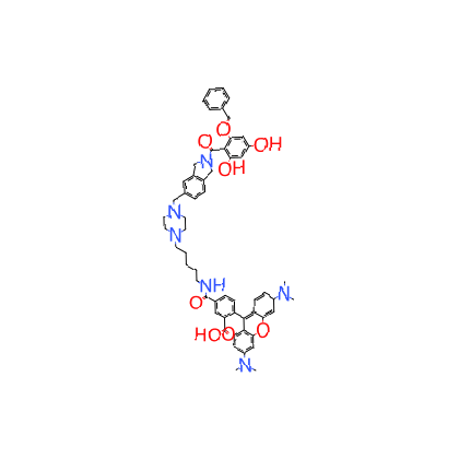 CN(C)c1ccc2c(c1)OC1=CC(N(C)C)C=CC1=C2c1ccc(C(=O)NCCCCCN2CCN(Cc3ccc4c(c3)CN(C(=O)c3c(O)cc(O)cc3OCc3ccccc3)C4)CC2)cc1C(=O)O